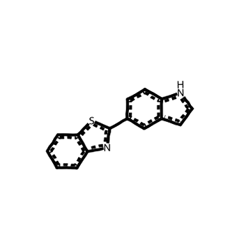 c1ccc2sc(-c3ccc4[nH]ccc4c3)nc2c1